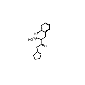 Cl.NC(Cc1ccccc1S)C(=O)OC1CCCC1